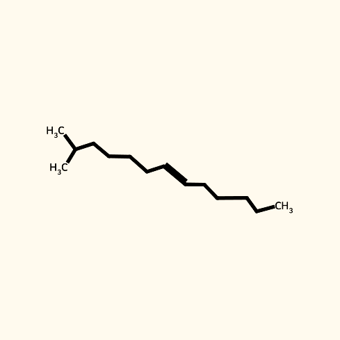 CCCCCC=CCCCCC(C)C